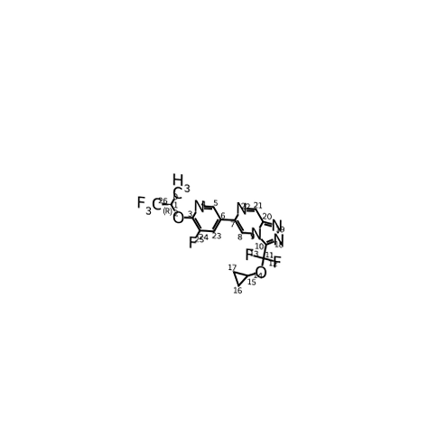 C[C@@H](Oc1ncc(-c2cn3c(C(F)(F)OC4CC4)nnc3cn2)cc1F)C(F)(F)F